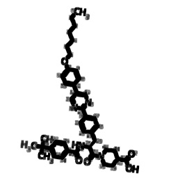 CCCCCCCOc1ccc(-c2cnc(-c3ccc(C[C@H](NC(=O)c4ccc(C(C)(C)C)cc4)C(=O)N4CCC(C(=O)O)CC4)cc3)nc2)cc1